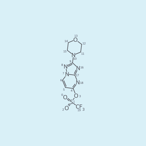 O=S(=O)(Oc1ccn2nc(N3CCOCC3)nc2n1)C(F)(F)F